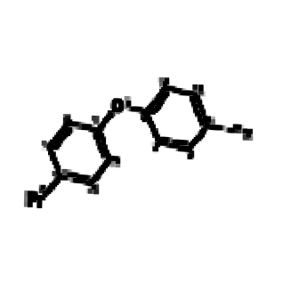 CC(C)c1ccc(Oc2ccc(F)cc2)cc1